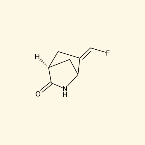 O=C1NC2C[C@@H]1C/C2=C/F